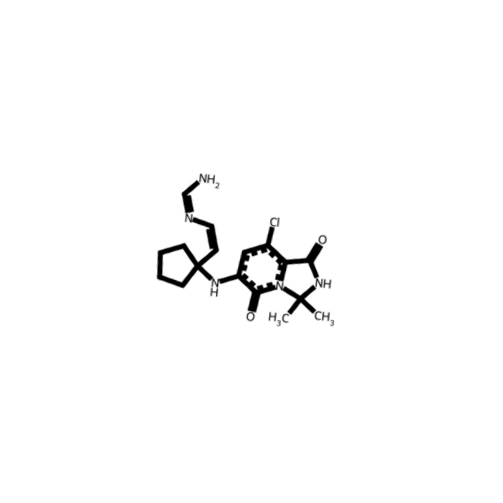 CC1(C)NC(=O)c2c(Cl)cc(NC3(/C=C\N=C/N)CCCC3)c(=O)n21